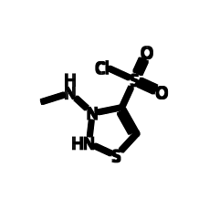 CNN1NSC=C1S(=O)(=O)Cl